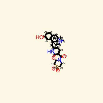 CN1CC[C@]23Cc4[nH]c(=O)c(C(=O)N5CCS(=O)(=O)CC5)cc4C[C@H]2[C@H]1Cc1ccc(O)cc13